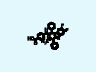 CO[C@@H](c1ccccc1)c1nc2cc(F)c(F)cc2n1C(C(=O)Nc1ccc(C(=O)O)cn1)C1CCCCC1